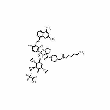 Cc1cc(C)c2cccc(OCc3c(Cl)ccc(S(=O)(=O)NC4(C(=O)N5CCC(CNCCCCCN)CC5)CCCC4)c3Cl)c2n1.O=C(O)C(F)(F)F.O=C1C=C(N2CC2)C(=O)C(N2CC2)=C1N1CC1